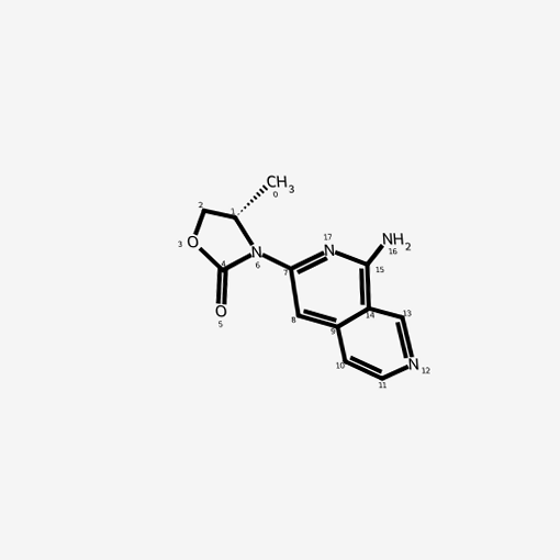 C[C@H]1COC(=O)N1c1cc2ccncc2c(N)n1